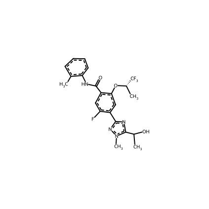 Cc1ccccc1NC(=O)c1cc(F)c(-c2nc(C(C)O)n(C)n2)cc1O[C@@H](C)C(F)(F)F